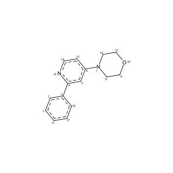 c1ccc(-c2cc(N3CCOCC3)ccn2)cc1